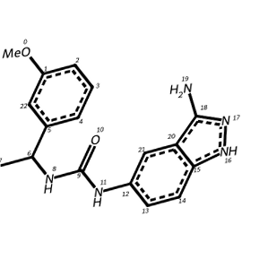 COc1cccc(C(C)NC(=O)Nc2ccc3[nH]nc(N)c3c2)c1